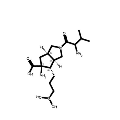 CC(C)C(N)C(=O)N1C[C@@H]2C[C@@](N)(C(=O)O)[C@@H](CCCB(O)O)[C@@H]2C1